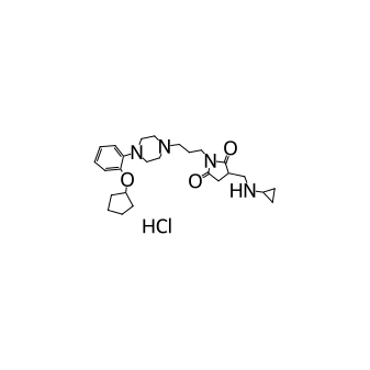 Cl.O=C1CC(CNC2CC2)C(=O)N1CCCN1CCN(c2ccccc2OC2CCCC2)CC1